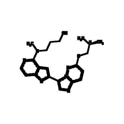 C[C@H](N)COc1ccc2ncc(-c3cc4c(N(C)CCCO)nccc4o3)n2n1